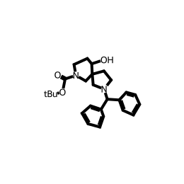 CC(C)(C)OC(=O)N1CCC(O)C2(CCN(C(c3ccccc3)c3ccccc3)C2)C1